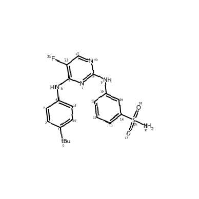 CC(C)(C)c1ccc(Nc2nc(Nc3cccc(S(N)(=O)=O)c3)ncc2F)cc1